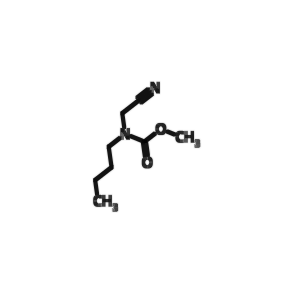 CCCCN(CC#N)C(=O)OC